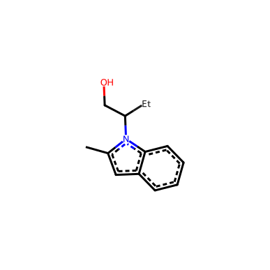 CCC(CO)n1c(C)cc2ccccc21